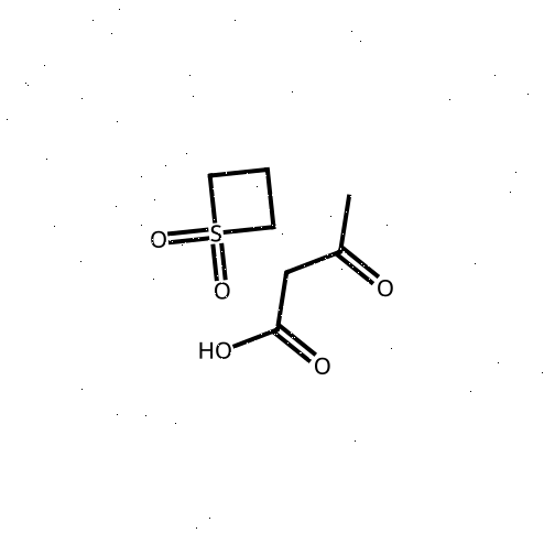 CC(=O)CC(=O)O.O=S1(=O)CCC1